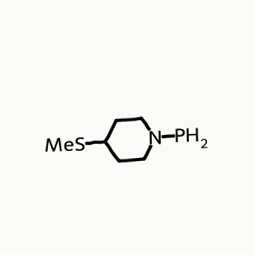 CSC1CCN(P)CC1